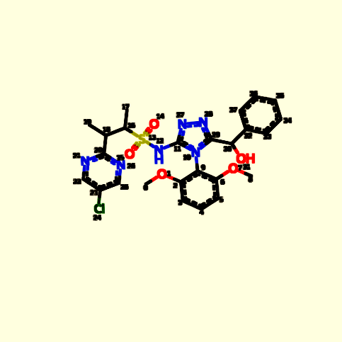 COc1cccc(OC)c1-n1c(NS(=O)(=O)C(C)C(C)c2ncc(Cl)cn2)nnc1C(O)c1ccccc1